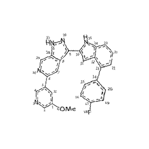 COc1cncc(-c2cc3c(-c4cc5c(-c6ccc(F)cc6)cccc5[nH]4)n[nH]c3cn2)c1